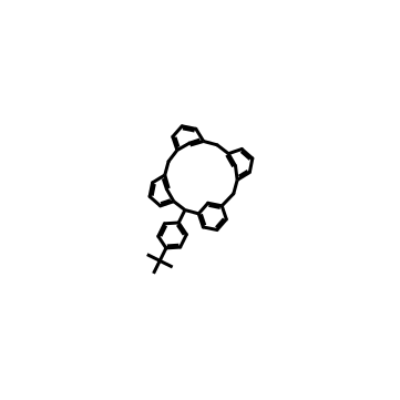 CC(C)(C)c1ccc(C2c3cccc(c3)Cc3cccc(c3)Cc3cccc(c3)Cc3cccc2c3)cc1